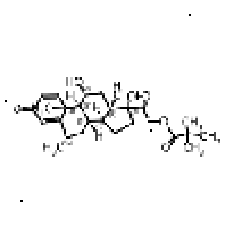 C[C@H]1C[C@@H]2[C@H]([C@@H](O)C[C@@]3(C)[C@H]2CC[C@]3(O)C(=O)COC(=O)C(C)(C)C)[C@@]2(C)C=CC(=O)C=C12